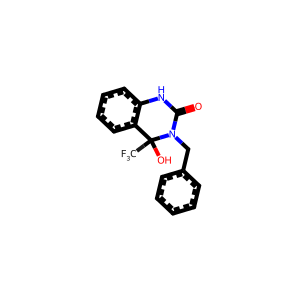 O=C1Nc2ccccc2C(O)(C(F)(F)F)N1Cc1ccccc1